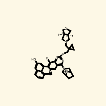 C#Cc1cccc2cc(O)cc(-c3c(Cl)cc4c(N5CC6CCC(C5)N6)nc(OCC5(CN6C[C@H]7COC[C@H]7C6)CC5)nc4c3F)c12